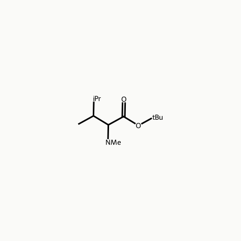 CNC(C(=O)OC(C)(C)C)C(C)C(C)C